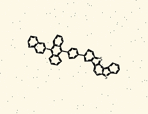 c1ccc2cc(-c3c4ccccc4c(-c4ccc(-c5ccc6sc7c(ccc8sc9ccccc9c87)c6c5)cc4)c4ccccc34)ccc2c1